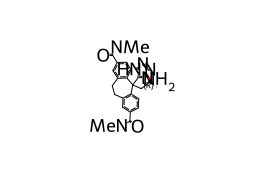 CNC(=O)c1ccc2c(c1)CCc1cc(C(=O)NC)ccc1C2(C[C@@H](C)N)c1nnn[nH]1